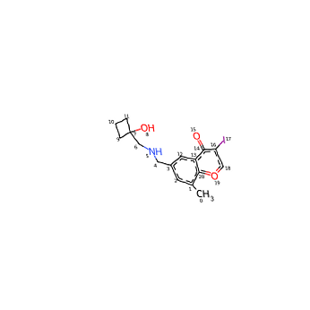 Cc1cc(CNCC2(O)CCC2)cc2c(=O)c(I)coc12